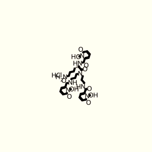 Cl.NCCCC[C@H](NC(=O)c1cccc(=O)n1O)C(=O)N(CCCNC(=O)c1cccc(=O)n1O)CCCNC(=O)c1cccc(=O)n1O